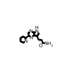 NC(=O)/C=C/c1c[nH]c2ncc(-c3ccccn3)nc12